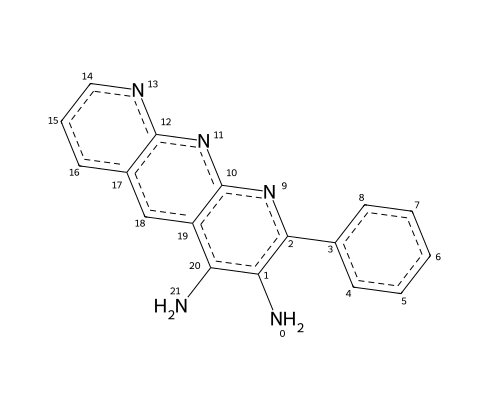 Nc1c(-c2ccccc2)nc2nc3ncccc3cc2c1N